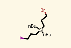 CCCC[Si](CCCC)(CCCBr)CCCI